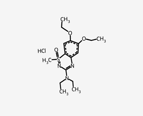 CCOc1cc2c(cc1OCC)S(C)(=O)=NC(N(CC)CC)=N2.Cl